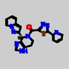 O=C(c1nnc(-c2ccccn2)s1)N1CCc2[nH]cnc2[C@@H]1c1cc2ccccn2n1